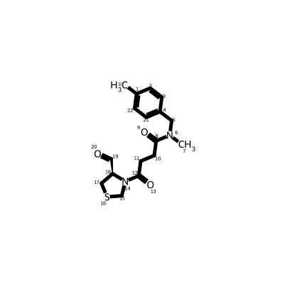 Cc1ccc(CN(C)C(=O)CCC(=O)N2CSC[C@H]2C=O)cc1